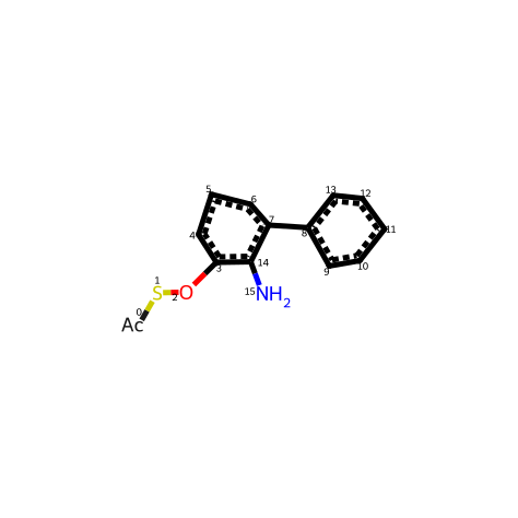 CC(=O)SOc1cccc(-c2ccccc2)c1N